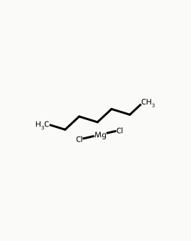 CCCCCCC.[Cl][Mg][Cl]